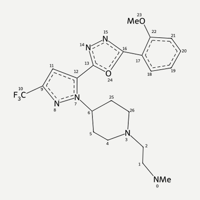 CNCCN1CCC(n2nc(C(F)(F)F)cc2-c2nnc(-c3ccccc3OC)o2)CC1